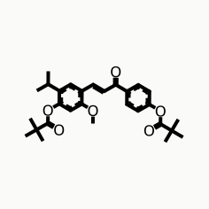 COc1cc(OC(=O)C(C)(C)C)c(C(C)C)cc1/C=C/C(=O)c1ccc(OC(=O)C(C)(C)C)cc1